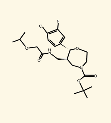 CC(C)OCC(=O)NC[C@@H]1CN(C(=O)OC(C)(C)C)CCO[C@H]1c1ccc(Cl)c(F)c1